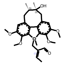 C/C=C(\C=O)COc1c(OC)c(OC)cc2c1-c1c(cc(OC)c(OC)c1OC)C[C@](C)(O)[C@@H](C)C2